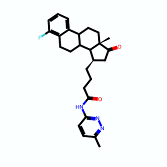 Cc1ccc(NC(=O)CCC[C@@H]2CC(=O)[C@@]3(C)CCC4c5cccc(F)c5CCC4C23)nn1